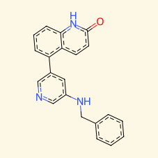 O=c1ccc2c(-c3cncc(NCc4ccccc4)c3)cccc2[nH]1